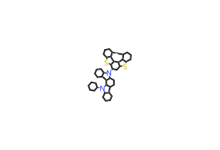 c1ccc(-n2c3ccccc3c3ccc4c(c5ccccc5n4-c4cc5sc6cccc7c8cccc9sc4c(c98)c5c67)c32)cc1